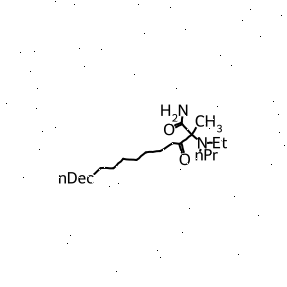 CCCCCCCCCCCCCCCCCC(=O)C(C)(C(N)=O)N(CC)CCC